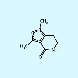 Cc1cn(C)c2c1C(=O)NCC2